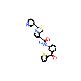 O=C(c1cccc(NC(=O)c2ccn3c2CSC3c2cccnc2)c1)c1cccs1